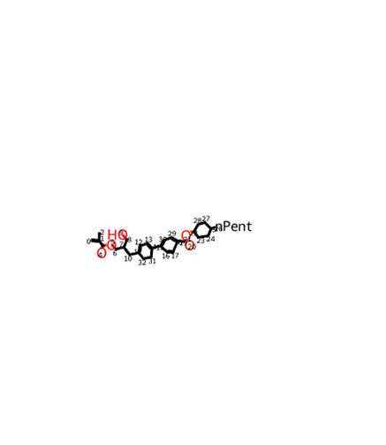 C=C(C)C(=O)OCC(CO)CC1=CC=C(c2ccc(C(=O)OC3CCC(CCCCC)CC3)cc2)CC1